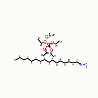 CCCCCCCCCCCCCCCC[NH3+].CCO[Si](OCC)(OCC)OCC.[Cl-].[Co]